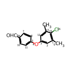 Cc1cc(Oc2ccc(C=O)cc2)cc(C)c1Cl